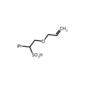 C=CCOCC(C(C)C)S(=O)(=O)O